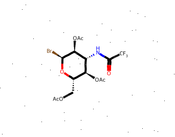 CC(=O)OC[C@@H]1O[C@@H](Br)[C@@H](OC(C)=O)[C@H](NC(=O)C(F)(F)F)[C@H]1OC(C)=O